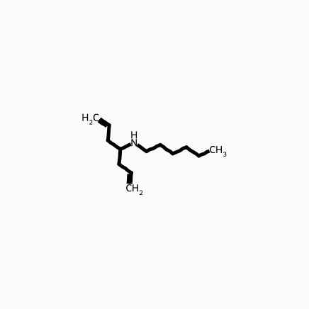 C=CCC(CC=C)NCCCCCC